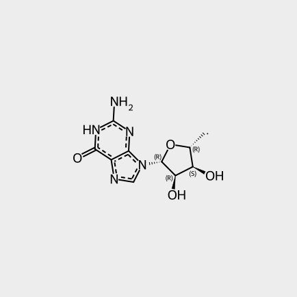 [CH2][C@H]1O[C@@H](n2cnc3c(=O)[nH]c(N)nc32)[C@H](O)[C@@H]1O